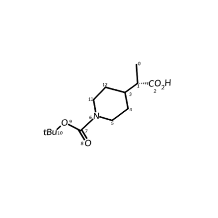 C[C@H](C(=O)O)C1CCN(C(=O)OC(C)(C)C)CC1